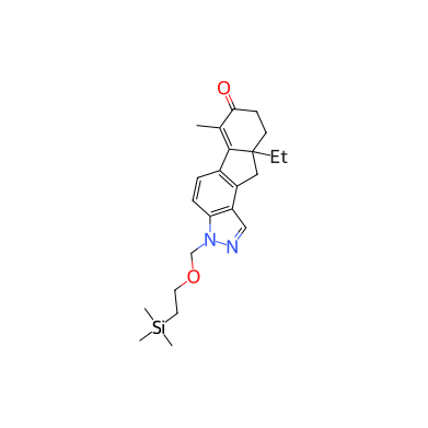 CCC12CCC(=O)C(C)=C1c1ccc3c(cnn3COCC[Si](C)(C)C)c1C2